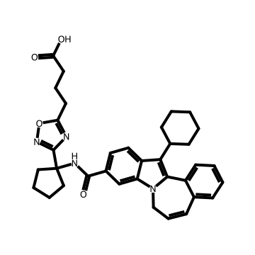 O=C(O)CCCc1nc(C2(NC(=O)c3ccc4c(C5CCCCC5)c5n(c4c3)CC=Cc3ccccc3-5)CCCC2)no1